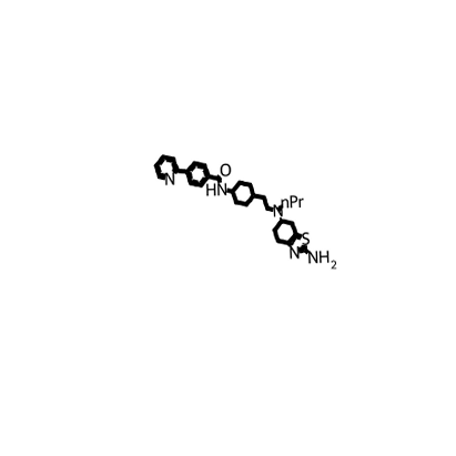 CCCN(CCC1CCC(NC(=O)c2ccc(-c3ccccn3)cc2)CC1)[C@H]1CCc2nc(N)sc2C1